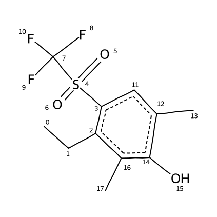 CCc1c(S(=O)(=O)C(F)(F)F)cc(C)c(O)c1C